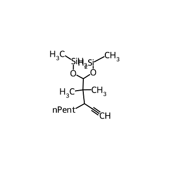 C#CC(CCCCC)C(C)(C)C(O[SiH2]C)O[SiH2]C